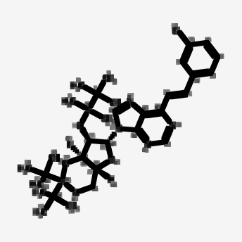 CC(C)(C)[Si](C)(C)O[C@@H]1[C@@H]2O[Si](C(C)(C)C)(C(C)(C)C)OC[C@H]2O[C@H]1n1cnc2c(C=Cc3cccc(Cl)c3)ncnc21